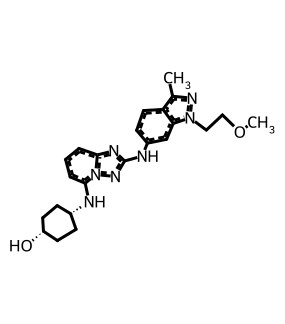 COCCn1nc(C)c2ccc(Nc3nc4cccc(N[C@H]5CC[C@@H](O)CC5)n4n3)cc21